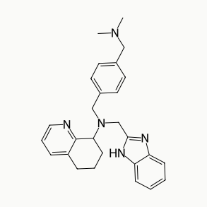 CN(C)Cc1ccc(CN(Cc2nc3ccccc3[nH]2)C2CCCc3cccnc32)cc1